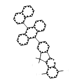 Cc1ccc(C)c2c3c(sc12)-c1ccc(-c2c4ccccc4c(-c4cccc5ccccc45)c4ccccc24)cc1C3(C)C